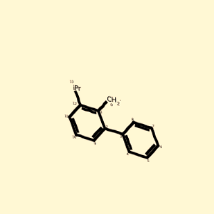 [CH2]c1c(-c2ccccc2)cccc1C(C)C